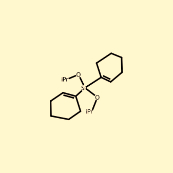 CC(C)O[Si](OC(C)C)(C1=CCCCC1)C1=CCCCC1